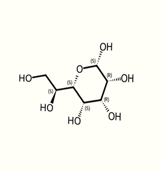 OC[C@H](O)[C@@H]1O[C@H](O)[C@H](O)[C@H](O)[C@@H]1O